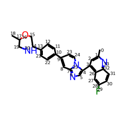 Cc1cc(-c2cnc3cc(-c4ccc(C5COC(C)CN5)cc4)ccn23)c2cc(F)ccc2n1